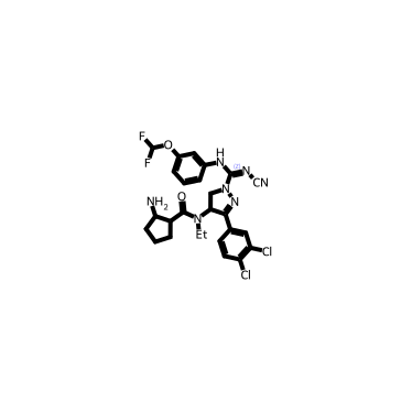 CCN(C(=O)C1CCCC1N)C1CN(/C(=N\C#N)Nc2cccc(OC(F)F)c2)N=C1c1ccc(Cl)c(Cl)c1